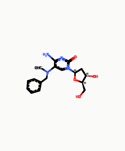 Nc1nc(=O)n([C@H]2C[C@H](O)[C@@H](CO)O2)cc1N(C=O)Cc1ccccc1